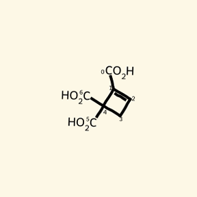 O=C(O)C1=CCC1(C(=O)O)C(=O)O